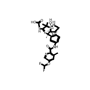 Cc1cc(OC(F)F)cnc1C(=O)Nc1ccc(F)c([C@@]2(C)N=C(NC(=O)O)C(C)(C)[S@@]3(O)NCC[C@@H]23)c1